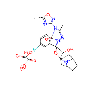 Cc1nc(-n2c(C)nn(CC(O)CN3C4CCC3CC(OCc3cccc(F)c3)C4)c2=O)no1.O=C(O)C(=O)O